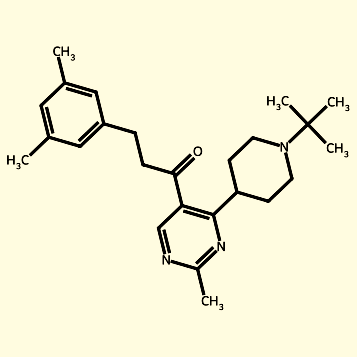 Cc1cc(C)cc(CCC(=O)c2cnc(C)nc2C2CCN(C(C)(C)C)CC2)c1